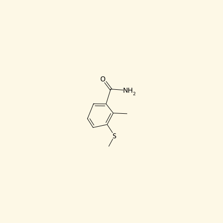 CSc1cccc(C(N)=O)c1C